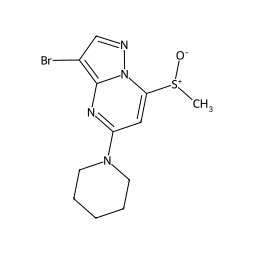 C[S+]([O-])c1cc(N2CCCCC2)nc2c(Br)cnn12